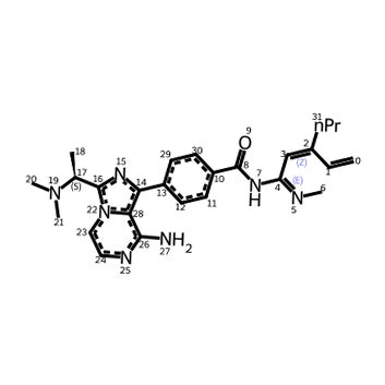 C=C/C(=C\C(=N/C)NC(=O)c1ccc(-c2nc([C@H](C)N(C)C)n3ccnc(N)c23)cc1)CCC